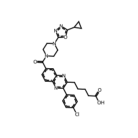 O=C(O)CCCCc1nc2cc(C(=O)N3CCN(c4nnc(C5CC5)o4)CC3)ccc2nc1-c1ccc(Cl)cc1